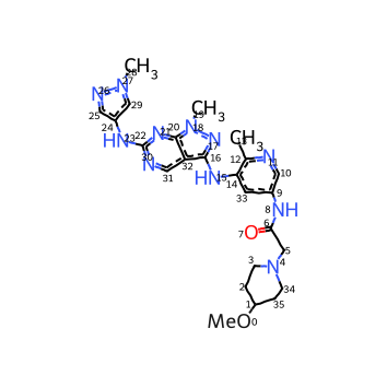 COC1CCN(CC(=O)Nc2cnc(C)c(Nc3nn(C)c4nc(Nc5cnn(C)c5)ncc34)c2)CC1